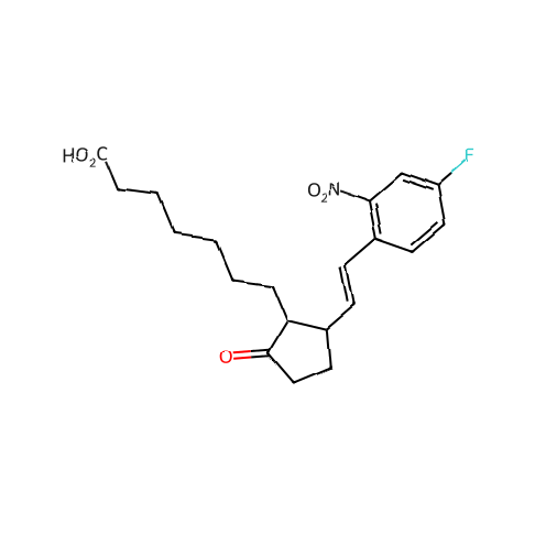 O=C(O)CCCCCCC1C(=O)CCC1/C=C/c1ccc(F)cc1[N+](=O)[O-]